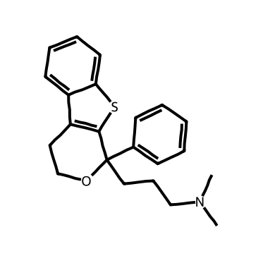 CN(C)CCCC1(c2ccccc2)OCCc2c1sc1ccccc21